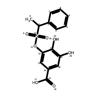 CC(c1ccccc1)S(=O)(=O)Oc1cc(C(=O)O)cc(O)c1O